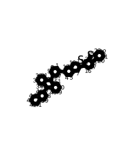 c1cc(-c2ccc3cc4c(cc3c2)sc2c4ccc3c4ccccc4sc32)cc(-c2c3ccccc3c(-c3ccc4ccccc4c3)c3ccccc23)c1